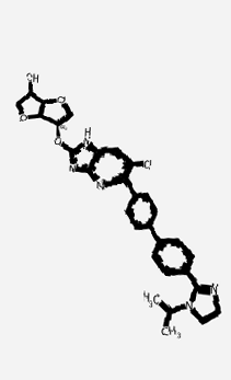 CC(C)N1CCN=C1c1ccc(-c2ccc(-c3nc4nc(O[C@@H]5COC6C(O)COC65)[nH]c4cc3Cl)cc2)cc1